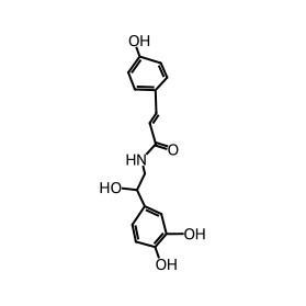 O=C(/C=C/c1ccc(O)cc1)NCC(O)c1ccc(O)c(O)c1